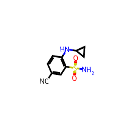 N#Cc1ccc(NC2CC2)c(S(N)(=O)=O)c1